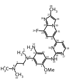 COc1cc(N(C)CCN(C)C)c(N)cc1Nc1nccc(-c2cc(F)c3nc(C)cn3c2)n1